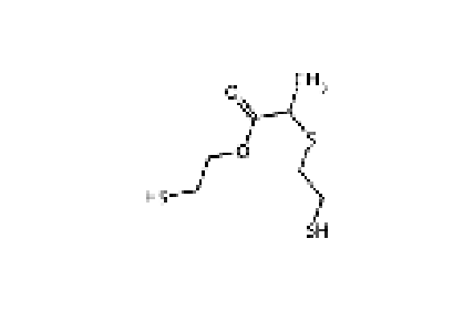 CC(SCCS)C(=O)OCCS